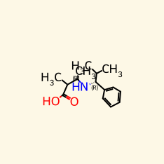 CC(C(=O)O)[C@@H](C)N[C@@H](c1ccccc1)C(C)C